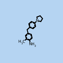 Cc1cc(Cc2ccc(N3CCCC3)cc2)ccc1N